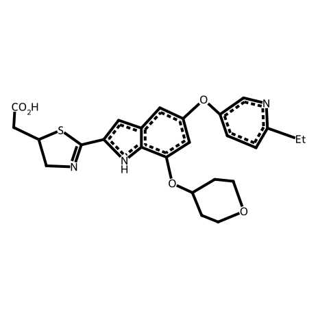 CCc1ccc(Oc2cc(OC3CCOCC3)c3[nH]c(C4=NCC(CC(=O)O)S4)cc3c2)cn1